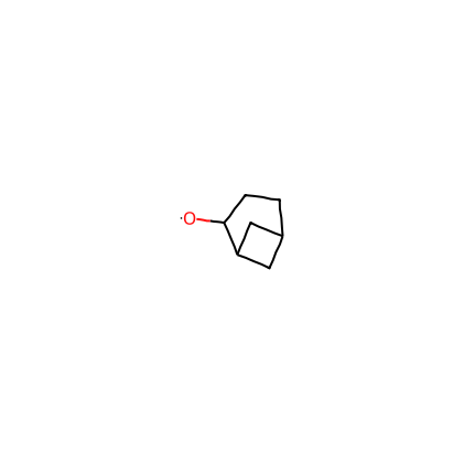 [O]C1CCC2CC1C2